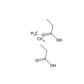 C.C.CCC(=O)O.CCC(=O)O